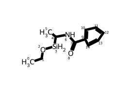 CCO[SiH2]C(C)NC(=O)c1ccccc1